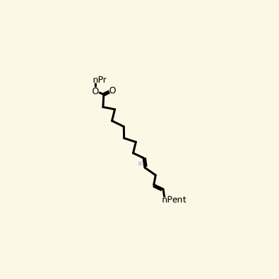 CCCCCC=CC/C=C/CCCCCCCC(=O)OCCC